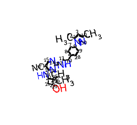 Cc1cc(C)n(-c2ccc(CCNc3ncc(C#N)c(N[C@@H]4C[C@H](O)C4(C)C)n3)cc2)n1